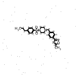 CCCc1ccc(S(=O)(=O)N2CCN(Cc3ccc(-c4noc(C)n4)cc3)CC2)cc1